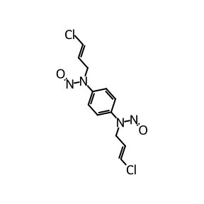 O=NN(CC=CCl)c1ccc(N(CC=CCl)N=O)cc1